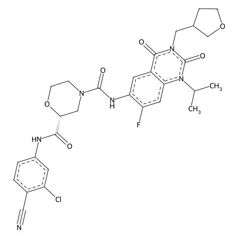 CC(C)n1c(=O)n(CC2CCOC2)c(=O)c2cc(NC(=O)N3CCO[C@@H](C(=O)Nc4ccc(C#N)c(Cl)c4)C3)c(F)cc21